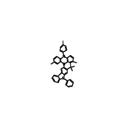 Cc1ccc(N2c3ccc(C)cc3B3c4cc5c6ccccc6n(-c6ccccc6)c5cc4C(C)(C)c4c(C)ccc2c43)cc1